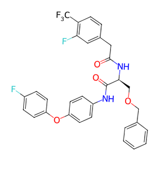 O=C(Cc1ccc(C(F)(F)F)c(F)c1)N[C@@H](COCc1ccccc1)C(=O)Nc1ccc(Oc2ccc(F)cc2)cc1